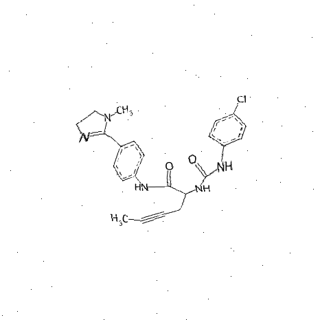 CC#CCC(NC(=O)Nc1ccc(Cl)cc1)C(=O)Nc1ccc(C2=NCCN2C)cc1